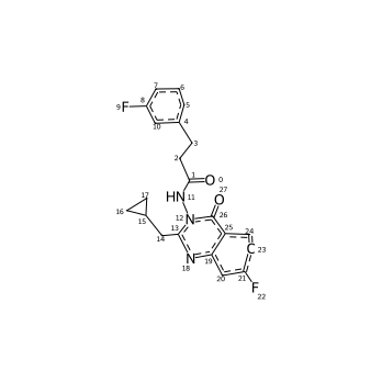 O=C(CCc1cccc(F)c1)Nn1c(CC2CC2)nc2cc(F)ccc2c1=O